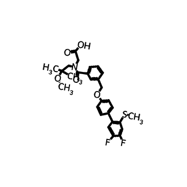 COC(C)(C)CN(CC(=O)O)C(=O)c1cccc(COc2ccc(-c3cc(F)c(F)cc3SC)cc2)c1